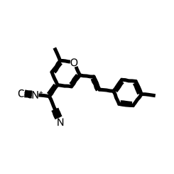 [C-]#[N+]/C(C#N)=C1\C=C(C)OC(/C=C/c2ccc(C)cc2)=C1